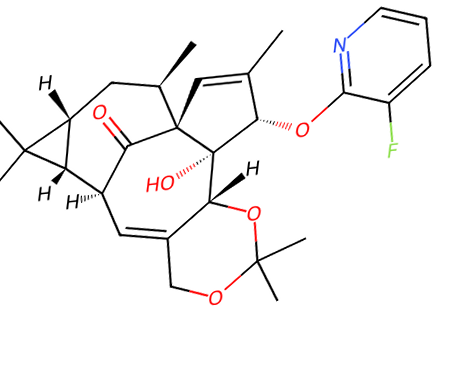 CC1=C[C@]23C(=O)[C@@H](C=C4COC(C)(C)O[C@H]4[C@]2(O)[C@H]1Oc1ncccc1F)[C@H]1[C@@H](C[C@H]3C)C1(C)C